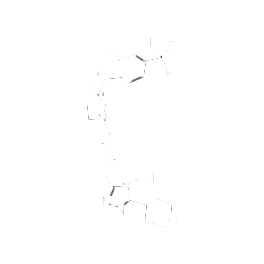 Cn1c(SCCCN2CC[C@@]3(C[C@@H]3[C@H]3C=CC(C(F)(F)F)=CC3F)C2)nnc1C1CCOCC1